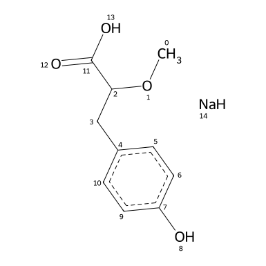 COC(Cc1ccc(O)cc1)C(=O)O.[NaH]